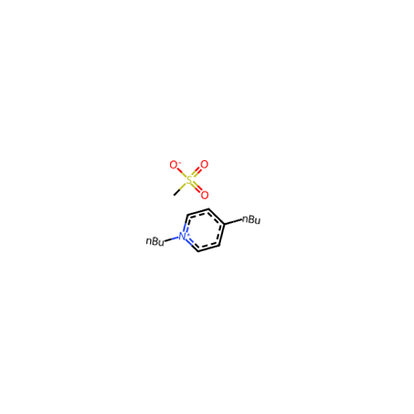 CCCCc1cc[n+](CCCC)cc1.CS(=O)(=O)[O-]